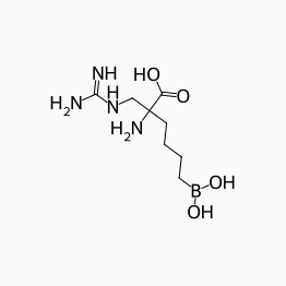 N=C(N)NCC(N)(CCCCB(O)O)C(=O)O